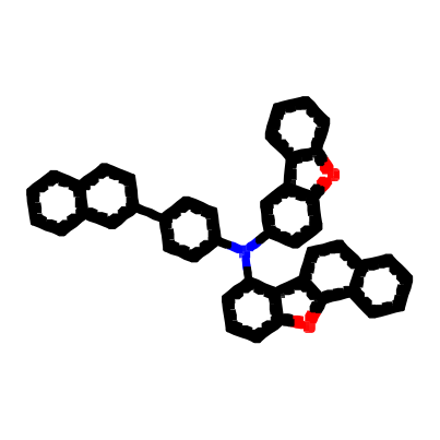 c1ccc2cc(-c3ccc(N(c4ccc5oc6ccccc6c5c4)c4cccc5oc6c7ccccc7ccc6c45)cc3)ccc2c1